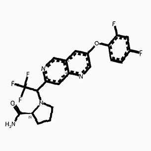 NC(=O)[C@@H]1CCCN1C(c1cc2ncc(Oc3ccc(F)cc3F)cc2cn1)C(F)(F)F